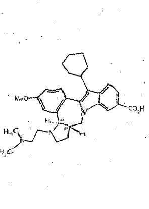 COc1ccc2c(c1)[C@H]1[C@@H](CCN1CCN(C)C)Cn1c-2c(C2CCCCC2)c2ccc(C(=O)O)cc21